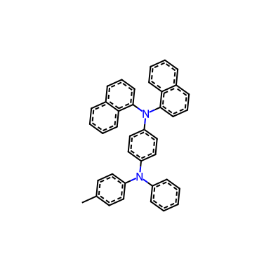 Cc1ccc(N(c2ccccc2)c2ccc(N(c3cccc4ccccc34)c3cccc4ccccc34)cc2)cc1